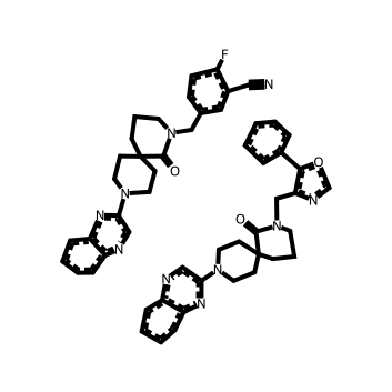 N#Cc1cc(CN2CCCC3(CCN(c4cnc5ccccc5n4)CC3)C2=O)ccc1F.O=C1N(Cc2ncoc2-c2ccccc2)CCCC12CCN(c1cnc3ccccc3n1)CC2